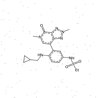 CCS(=O)(=O)Nc1ccc(NCC2CC2)c(-c2cn(C)c(=O)c3nn(C)nc23)c1